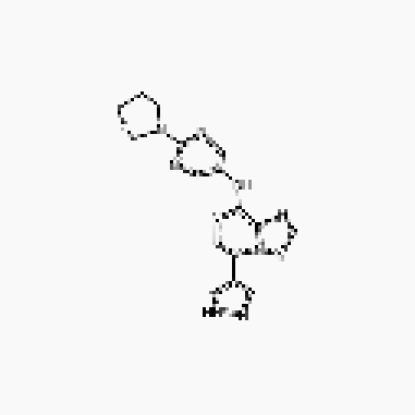 c1nc2c(Nc3cnc(N4CCCCC4)nc3)ncc(-c3cn[nH]c3)n2n1